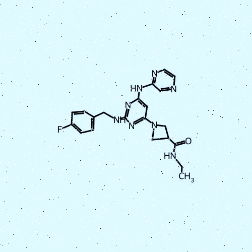 CCNC(=O)C1CN(c2cc(Nc3cnccn3)nc(NCc3ccc(F)cc3)n2)C1